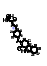 O=C(/C=C/c1ccc(CN2CCc3c([nH]c4ccccc34)C2=O)cc1)NO